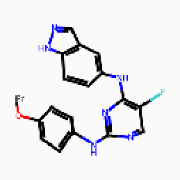 CC(C)Oc1ccc(Nc2ncc(F)c(Nc3ccc4[nH]ncc4c3)n2)cc1